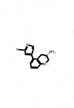 N[C@@H]1COc2cccc(-c3ccnc(F)c3)c2C1